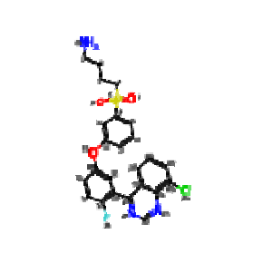 NCCCCS(=O)(=O)c1cccc(Oc2ccc(F)c(-c3ncnc4c(Cl)cccc34)c2)c1